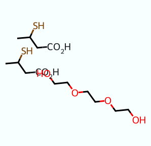 CC(S)CC(=O)O.CC(S)CC(=O)O.OCCOCCOCCO